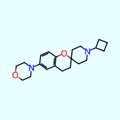 c1cc2c(cc1N1CCOCC1)CCC1(CCN(C3CCC3)CC1)O2